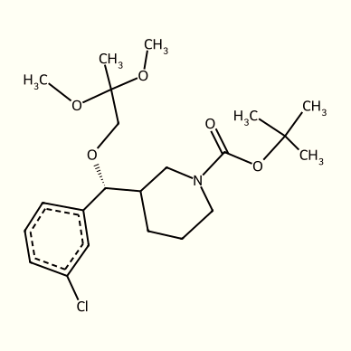 COC(C)(CO[C@@H](c1cccc(Cl)c1)C1CCCN(C(=O)OC(C)(C)C)C1)OC